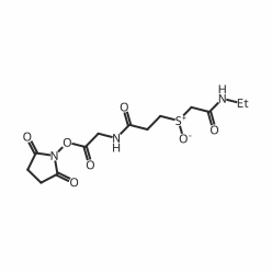 CCNC(=O)C[S+]([O-])CCC(=O)NCC(=O)ON1C(=O)CCC1=O